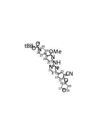 COc1nc(Nc2nccc(-c3ccc(OC4CCOCC4)c(C#N)c3)n2)ccc1C1CCN(C(=O)OC(C)(C)C)CC1